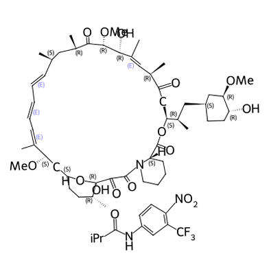 CC(C)C(=O)Nc1ccc([N+](=O)[O-])c(C(F)(F)F)c1.CO[C@H]1C[C@@H]2CC[C@@H](C)[C@@](O)(O2)C(=O)C(=O)N2CCCC[C@H]2C(=O)O[C@H]([C@H](C)C[C@@H]2CC[C@@H](O)[C@H](OC)C2)CC(=O)[C@H](C)/C=C(\C)[C@@H](O)[C@@H](OC)C(=O)[C@H](C)C[C@H](C)/C=C/C=C/C=C/1C